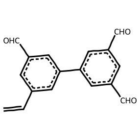 C=Cc1cc(C=O)cc(-c2cc(C=O)cc(C=O)c2)c1